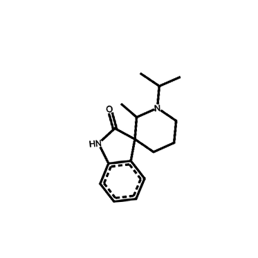 CC(C)N1CCCC2(C(=O)Nc3ccccc32)C1C